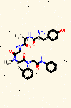 C[C@@H](NC(=O)[C@@H](N)Cc1ccc(O)cc1)C(=O)NCC(=O)N(C)[C@@H](Cc1ccccc1)C(=O)NCC(=O)Nc1ccccc1